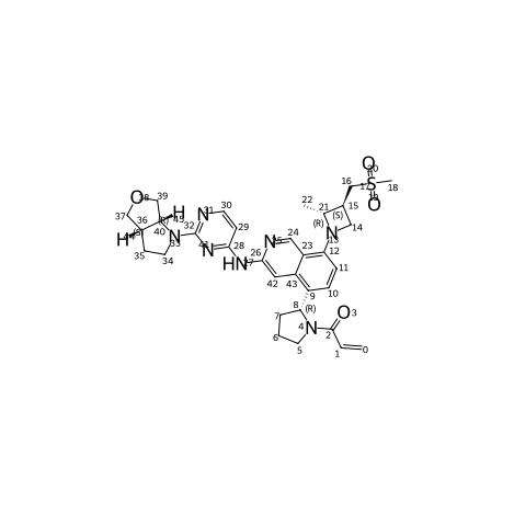 C=CC(=O)N1CCC[C@@H]1c1ccc(N2C[C@H](CS(C)(=O)=O)[C@H]2C)c2cnc(Nc3ccnc(N4CC[C@@H]5COC[C@@H]54)n3)cc12